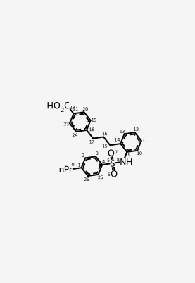 CCCc1ccc(S(=O)(=O)Nc2ccccc2CCCc2ccc(C(=O)O)cc2)cc1